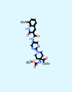 CNc1cccc2cc(C(=O)Nc3cnc(N4CCC(NC(=O)OC(C)(C)C)(C(=O)OC)CC4)nc3)c(=O)[nH]c12